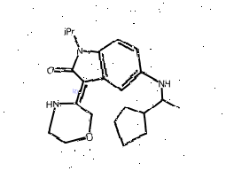 CC(Nc1ccc2c(c1)/C(=C1\COCCN1)C(=O)N2C(C)C)C1CCCC1